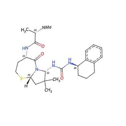 CN[C@@H](C)C(=O)N[C@H]1CCS[C@H]2CC(C)(C)[C@@H](NC(=O)N[C@@H]3CCCc4ccccc43)N2C1=O